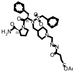 CC(=O)OCCCC(=O)N=NCN1CCC(CN([C@H](Cc2ccccc2)C(=O)N2CCC[C@H]2C(N)=O)S(=O)(=O)Cc2ccccc2)CC1